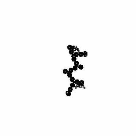 CC1(C)c2ccccc2-c2ccc(C(Cc3ccc(-c4ccc5c(c4)c4cc(-c6ccc7c(c6)c6cc(-c8ccc(C(c9ccc(-c%10ccc(C%11OCCO%11)cc%10)cc9)c9ccc%10c(c9)C(C)(C)c9ccccc9-%10)cc8)ccc6n7-c6ccccc6)ccc4n5-c4ccccc4)cc3)c3ccc(-c4ccc(C5OCCO5)cc4)cc3)cc21